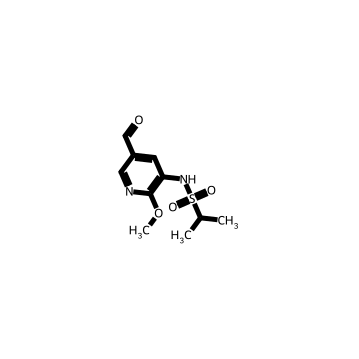 COc1ncc(C=O)cc1NS(=O)(=O)C(C)C